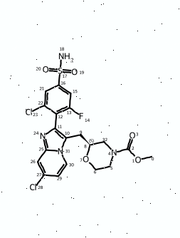 COC(=O)N1CCO[C@@H](Cc2c(-c3c(F)cc(S(N)(=O)=O)cc3Cl)nc3cc(Cl)ccn23)C1